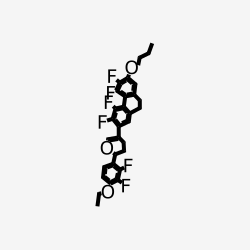 CCCCOc1cc2c(c(F)c1F)-c1c(cc(C3=COC(c4ccc(OCC)c(F)c4F)CC3)c(F)c1F)CC2